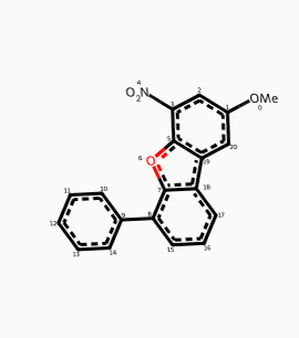 COc1cc([N+](=O)[O-])c2oc3c(-c4ccccc4)cccc3c2c1